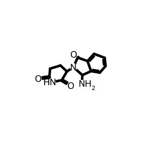 NC1c2ccccc2C(=O)N1C1CCC(=O)NC1=O